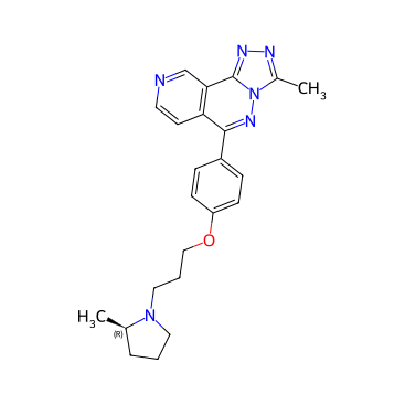 Cc1nnc2c3cnccc3c(-c3ccc(OCCCN4CCC[C@H]4C)cc3)nn12